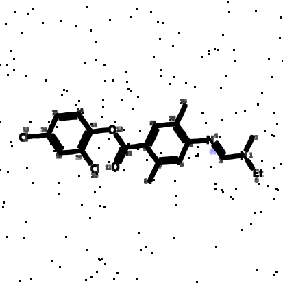 CCN(C)/C=N/c1cc(C)c(C(=O)Oc2ccc(Cl)cc2Cl)cc1C